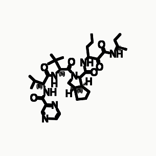 CCCC(NC(=O)C1[C@H]2CCC[C@H]2CN1C(=O)[C@@H](NC(=O)[C@H](NC(=O)c1cnccn1)C(C)C)C(C)(C)C)C(=O)C(=O)N[C@H](C)CC